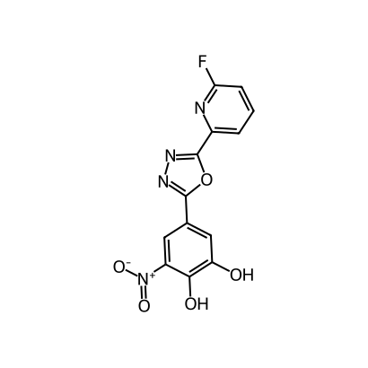 O=[N+]([O-])c1cc(-c2nnc(-c3cccc(F)n3)o2)cc(O)c1O